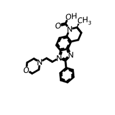 C[C@H]1CCc2c(ccc3c2nc(-c2ccccc2)n3CCN2CCOCC2)N1C(=O)O